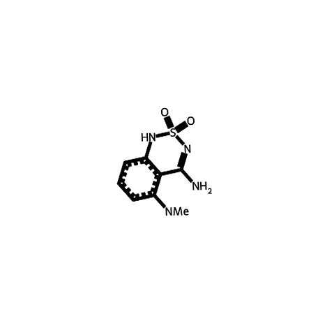 CNc1cccc2c1C(N)=NS(=O)(=O)N2